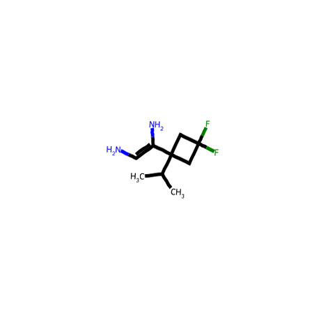 CC(C)C1(/C(N)=C/N)CC(F)(F)C1